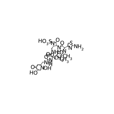 C[C@@H](NC(=O)NCc1cc(=O)c(O)cn1O)C(=O)NC[C@@H]1[C@H](NC(=O)C(=NOC(C)(C)C(=O)O)c2csc(N)n2)C(=O)N1S(=O)(=O)O